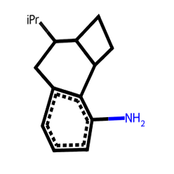 CC(C)C1Cc2cccc(N)c2C2CCC21